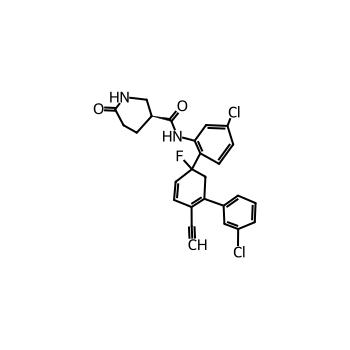 C#CC1=C(c2cccc(Cl)c2)CC(F)(c2ccc(Cl)cc2NC(=O)[C@H]2CCC(=O)NC2)C=C1